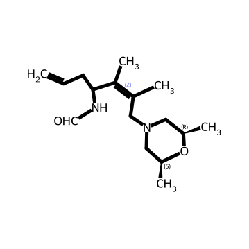 C=CCC(NC=O)/C(C)=C(/C)CN1C[C@@H](C)O[C@@H](C)C1